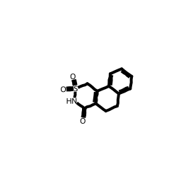 O=C1NS(=O)(=O)CC2=C1CCc1ccccc12